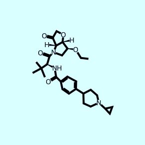 CCO[C@H]1CN(C(=O)[C@@H](NC(=O)c2ccc(C3CCN(C4CC4)CC3)cc2)C(C)(C)C)[C@@H]2C(=O)CO[C@H]12